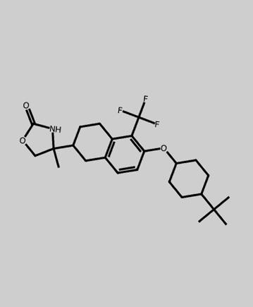 CC(C)(C)C1CCC(Oc2ccc3c(c2C(F)(F)F)CCC(C2(C)COC(=O)N2)C3)CC1